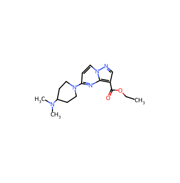 CCOC(=O)c1cnn2ccc(N3CCC(N(C)C)CC3)nc12